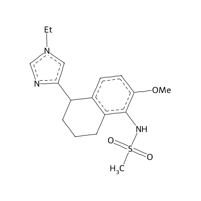 CCn1cnc(C2CCCc3c2ccc(OC)c3NS(C)(=O)=O)c1